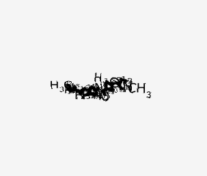 CN1CCC(Oc2ccc(C(=O)Nc3cc4cc(-c5cnn(C)c5)ncc4cn3)cc2)CC1